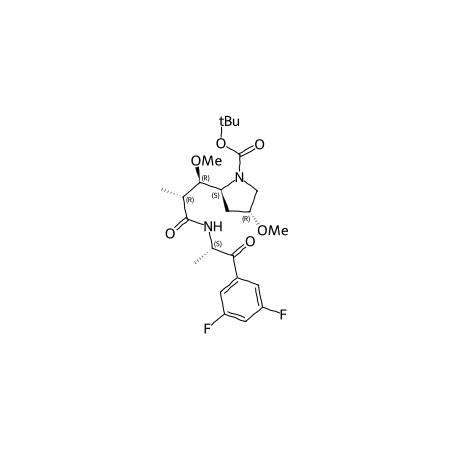 CO[C@@H]1C[C@@H]([C@H](OC)[C@@H](C)C(=O)N[C@@H](C)C(=O)c2cc(F)cc(F)c2)N(C(=O)OC(C)(C)C)C1